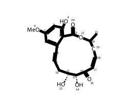 COc1cc(O)c2c(c1)/C=C/C[C@@H](O)[C@@H](O)C(=O)/C=C\CC(C)OC2=O